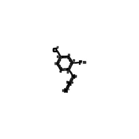 [N-]=[N+]=Nc1ccc(Cl)cc1F